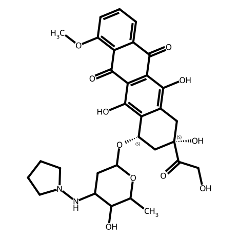 COc1cccc2c1C(=O)c1c(O)c3c(c(O)c1C2=O)C[C@@](O)(C(=O)CO)C[C@@H]3OC1CC(NN2CCCC2)C(O)C(C)O1